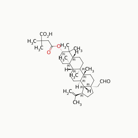 C=C(C)[C@@H]1CC[C@]2(CC=O)CC[C@]3(C)[C@H](CC[C@@H]4[C@@]5(C)CC[C@H](OC(=O)CC(C)(C)C(=O)O)C(C)(C)[C@@H]5CC[C@]43C)[C@@H]12